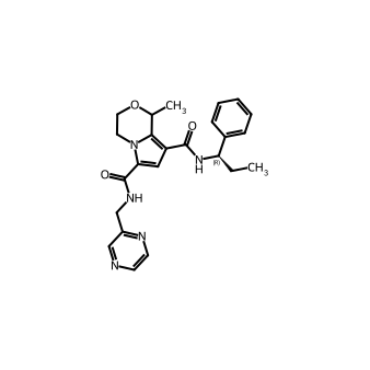 CC[C@@H](NC(=O)c1cc(C(=O)NCc2cnccn2)n2c1C(C)OCC2)c1ccccc1